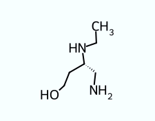 CCN[C@H](CN)CCO